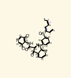 C=C/C(=C\C=C/C)[S+]([O-])c1cccc(-n2nc(C(=O)Nc3c(Cl)cncc3Cl)c(=O)c3cccnc32)c1